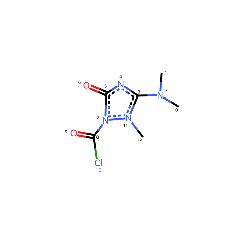 CN(C)c1nc(=O)n(C(=O)Cl)n1C